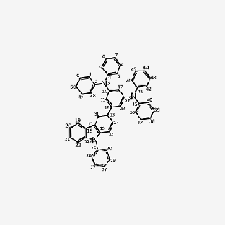 C1=CC(N(c2ccccc2)c2cc(C3C=Cc4c(c5ccccc5n4-c4ccccc4)C3)cc(N(c3ccccc3)c3ccccc3)c2)=CCC1